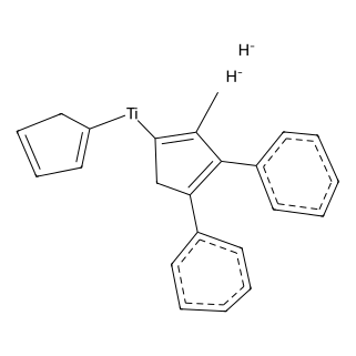 CC1=[C]([Ti][C]2=CC=CC2)CC(c2ccccc2)=C1c1ccccc1.[H-].[H-]